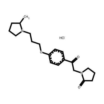 CC1CCCN1CCCOc1ccc(C(=O)CN2CCCC2=O)cc1.Cl